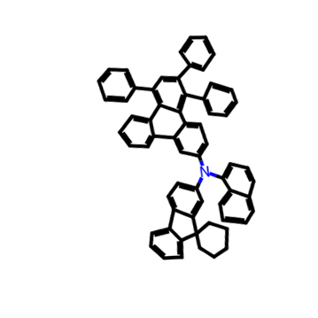 c1ccc(-c2cc(-c3ccccc3)c3c4ccccc4c4cc(N(c5ccc6c(c5)C5(CCCCC5)c5ccccc5-6)c5cccc6ccccc56)ccc4c3c2-c2ccccc2)cc1